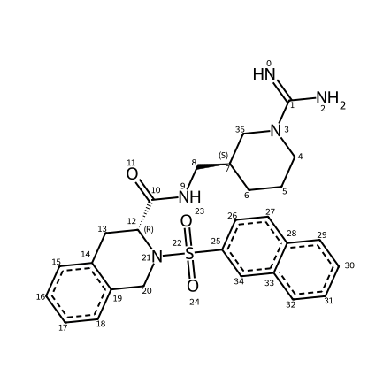 N=C(N)N1CCC[C@@H](CNC(=O)[C@H]2Cc3ccccc3CN2S(=O)(=O)c2ccc3ccccc3c2)C1